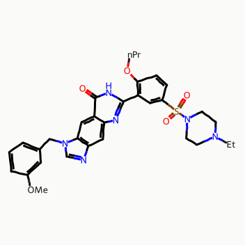 CCCOc1ccc(S(=O)(=O)N2CCN(CC)CC2)cc1-c1nc2cc3ncn(Cc4cccc(OC)c4)c3cc2c(=O)[nH]1